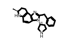 C[C@H]1CCc2c(ccc3c2nc(Cc2ccccc2)n3[C@@H]2CCNC2)N1